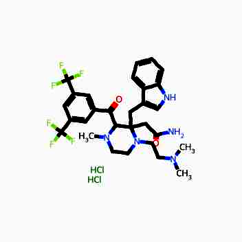 CN(C)CCN1CCN(C)C(C(=O)c2cc(C(F)(F)F)cc(C(F)(F)F)c2)C1(CC(N)=O)Cc1c[nH]c2ccccc12.Cl.Cl